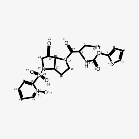 CC(C)CC(NC(=O)Oc1cccs1)C(=O)N1CCC2C1C(=O)CN2S(=O)(=O)c1cccc[n+]1[O-]